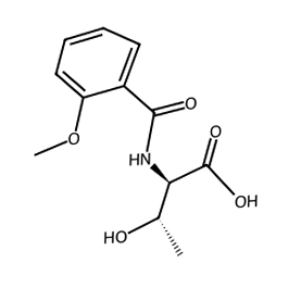 COc1ccccc1C(=O)N[C@@H](C(=O)O)[C@H](C)O